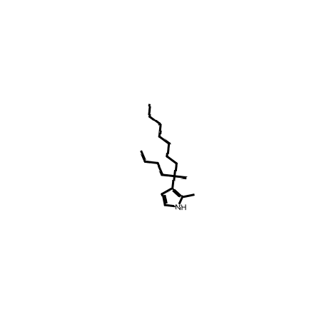 CCCCCCCC(C)(CCCC)c1cc[nH]c1C